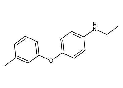 CCNc1ccc(Oc2cccc(C)c2)cc1